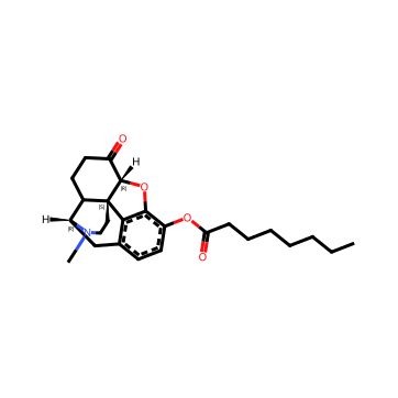 CCCCCCCC(=O)Oc1ccc2c3c1O[C@H]1C(=O)CCC4[C@@H](C2)N(C)CC[C@@]341